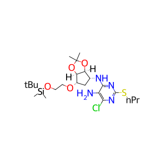 CCCSc1nc(Cl)c(N)c(N[C@@H]2C[C@H](OCCO[Si](C)(C)C(C)(C)C)[C@H]3OC(C)(C)O[C@H]32)n1